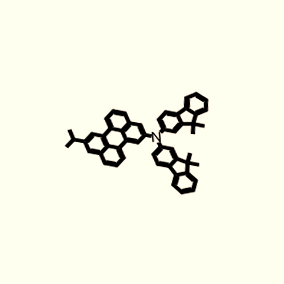 CC(C)c1cc2cccc3c4cc(N(c5ccc6c(c5)C(C)(C)c5ccccc5-6)c5ccc6c(c5)C(C)(C)c5ccccc5-6)cc5cccc(c(c1)c23)c54